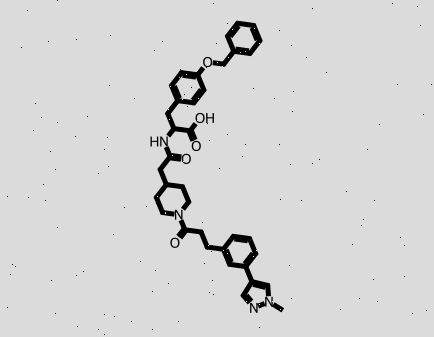 Cn1cc(-c2cccc(CCC(=O)N3CCC(CC(=O)NC(Cc4ccc(OCc5ccccc5)cc4)C(=O)O)CC3)c2)cn1